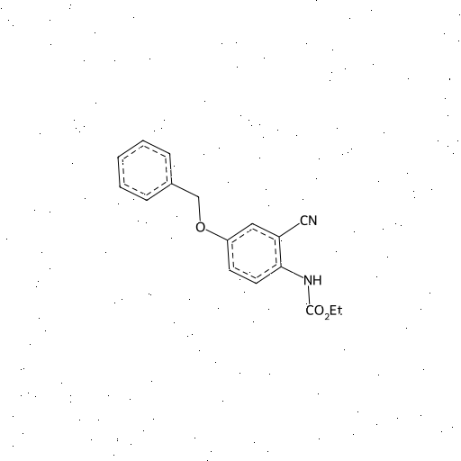 CCOC(=O)Nc1ccc(OCc2ccccc2)cc1C#N